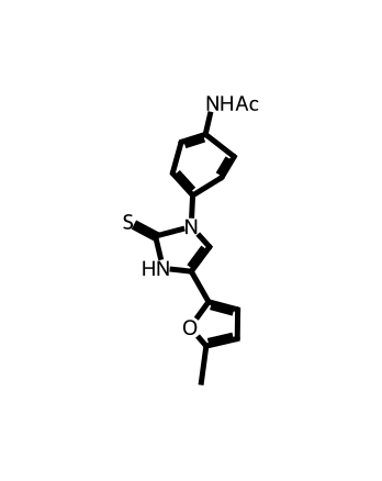 CC(=O)Nc1ccc(-n2cc(-c3ccc(C)o3)[nH]c2=S)cc1